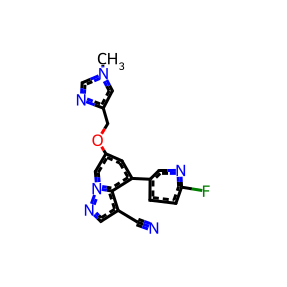 Cn1cnc(COc2cc(-c3ccc(F)nc3)c3c(C#N)cnn3c2)c1